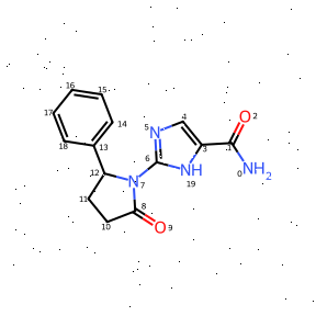 NC(=O)c1cnc(N2C(=O)CCC2c2ccccc2)[nH]1